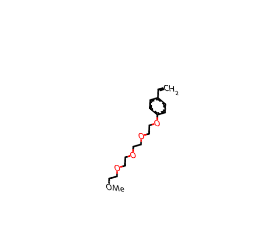 C=Cc1ccc(OCCOCCOCCOCCOC)cc1